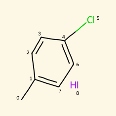 Cc1ccc(Cl)cc1.I